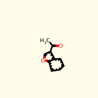 CC(=O)c1[c]oc2ccccc12